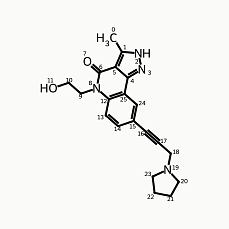 Cc1[nH]nc2c1c(=O)n(CCO)c1ccc(C#CCN3CCCC3)cc21